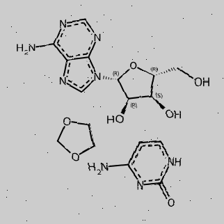 C1COCO1.Nc1cc[nH]c(=O)n1.Nc1ncnc2c1ncn2[C@@H]1O[C@H](CO)[C@@H](O)[C@H]1O